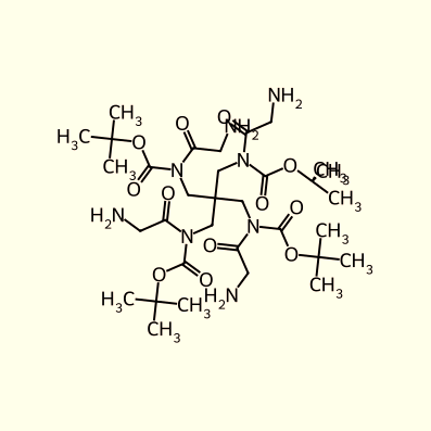 CC(C)(C)OC(=O)N(CC(CN(C(=O)CN)C(=O)OC(C)(C)C)(CN(C(=O)CN)C(=O)OC(C)(C)C)CN(C(=O)CN)C(=O)OC(C)(C)C)C(=O)CN